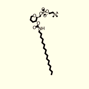 CCCCCCCCCCCCCCCCCNC(=O)O[C@@H]1CCCO[C@H]1COP(=O)([O-])OCC[N+](C)(C)C